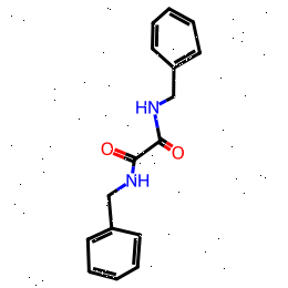 O=C(NCc1ccccc1)C(=O)NCc1ccccc1